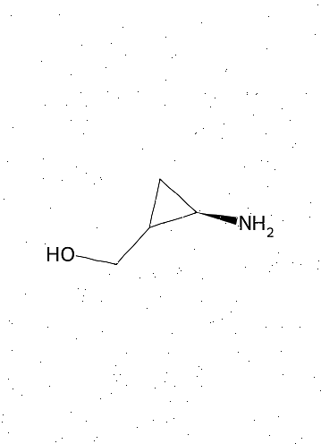 N[C@@H]1CC1CO